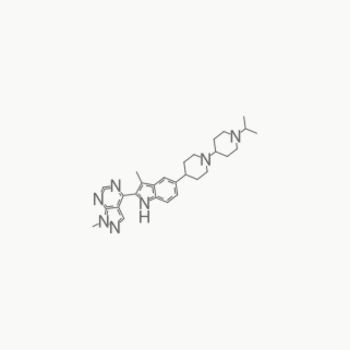 Cc1c(-c2ncnc3c2cnn3C)[nH]c2ccc(C3CCN(C4CCN(C(C)C)CC4)CC3)cc12